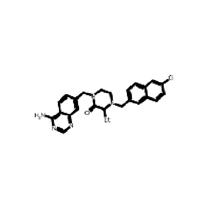 CCC1C(=O)N(Cc2ccc3c(N)ncnc3c2)CCN1Cc1ccc2cc(Cl)ccc2c1